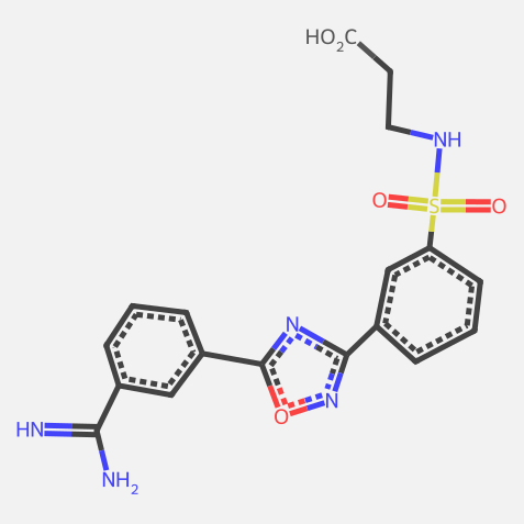 N=C(N)c1cccc(-c2nc(-c3cccc(S(=O)(=O)NCCC(=O)O)c3)no2)c1